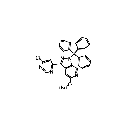 CC(C)(C)Oc1cc2c(-c3cc(Cl)ncn3)nn(C(c3ccccc3)(c3ccccc3)c3ccccc3)c2cn1